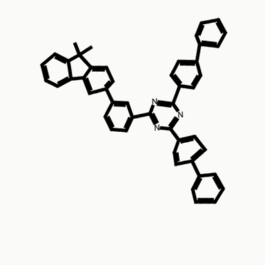 CC1(C)c2ccccc2-c2cc(-c3cccc(-c4nc(-c5ccc(-c6ccccc6)cc5)nc(-c5ccc(-c6ccccc6)cc5)n4)c3)ccc21